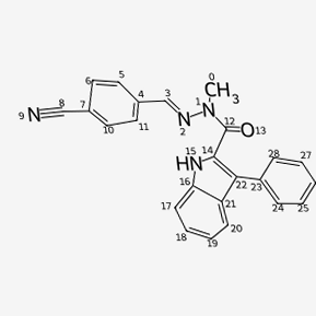 CN(N=Cc1ccc(C#N)cc1)C(=O)c1[nH]c2ccccc2c1-c1ccccc1